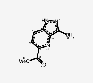 Bc1n[nH]c2ccc(C(=O)OC)nc12